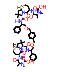 CC(C(=O)N[C@H]1CCS[C@H]2CC(C)(C)[C@@H](C(=O)NC(COCc3ccc(COCC(NC(=O)[C@H]4N5C(=O)[C@@H](NC(=O)C(C)N(C)C(=O)O)CCS[C@H]5CC4(C)C)c4ccccc4)cc3)c3ccccc3)N2C1=O)N(C)C(=O)O